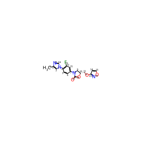 Cc1cn(-c2ccc(N3C[C@H](COc4ccon4)OC3=O)cc2F)cn1